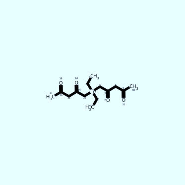 C[CH2][Ti]([CH2]C)([CH2]C(=O)CC(C)=O)[CH2]C(=O)CC(C)=O